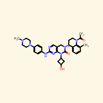 Cc1cccc2c1N(C(=O)C(F)(F)F)CC[C@@H]2N1Cc2cnc(Nc3ccc(N4CCN(C)CC4)cc3)nc2N(C2CC(O)C2)C1=O